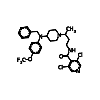 CC(CCNC(=O)c1c(Cl)cncc1Cl)N1CCC(N(Cc2ccccc2)c2ccc(OC(F)(F)F)cc2)CC1